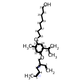 C=C/C(=C\C=C/C)COc1cc(C)c(OCCCCCCCCO)cc1C(=C)C